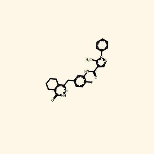 Cc1c(C(=O)Nc2cc(Cc3n[nH]c(=O)c4c3CCCC4)ccc2F)cnn1-c1ccccc1